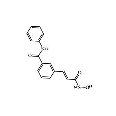 O=C(C=Cc1cccc(C(=O)Nc2ccccc2)c1)NO